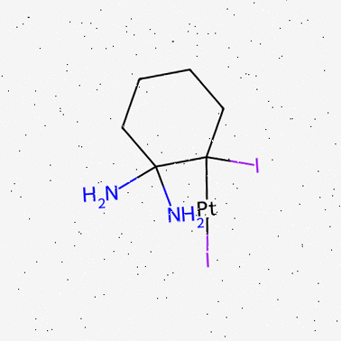 NC1(N)CCCC[C]1(I)[Pt][I]